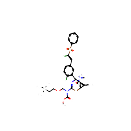 CC1=C2[C@@]1(C(=O)N(C)C)SC(N(COCC[Si](C)(C)C)C(=O)OC(C)(C)C)=N[C@]2(C)c1cc(/C=C(\F)S(=O)(=O)c2ccccc2)ccc1F